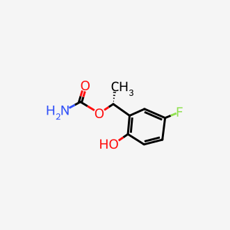 C[C@@H](OC(N)=O)c1cc(F)ccc1O